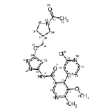 COc1c(C)ncc(C(=O)Nc2nnc(OC[C@@H]3CCN(C(C)=O)C3)s2)c1-c1ccnc(Cl)c1